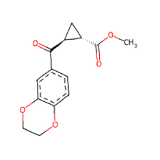 COC(=O)[C@H]1C[C@@H]1C(=O)c1ccc2c(c1)OCCO2